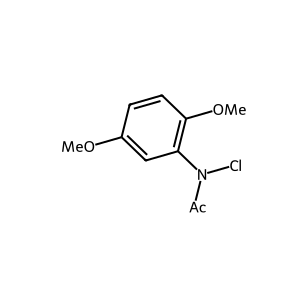 COc1ccc(OC)c(N(Cl)C(C)=O)c1